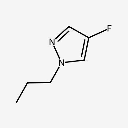 CCCn1[c]c(F)cn1